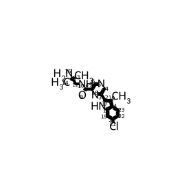 Cc1c(-c2cncc(C(=O)NCC(C)(C)N)n2)[nH]c2cc(Cl)ccc12